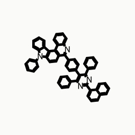 c1ccc(-c2nc(-c3cccc4ccccc34)nc(-c3ccccc3)c2-c2ccc(-c3nc4ccccc4c4c3ccc3c4c4ccccc4n3-c3ccccc3)cc2)cc1